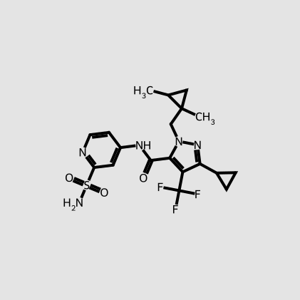 CC1CC1(C)Cn1nc(C2CC2)c(C(F)(F)F)c1C(=O)Nc1ccnc(S(N)(=O)=O)c1